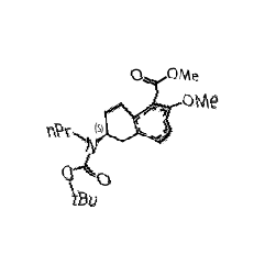 CCCN(C(=O)OC(C)(C)C)[C@H]1CCc2c(ccc(OC)c2C(=O)OC)C1